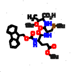 CC(OC(C)(C)C)C(NC(=O)C(CSC(C)(C)C)NC(=O)C(CCC(=O)OC(C)(C)C)NC(=O)OCC1c2ccccc2-c2ccccc21)C(=O)O